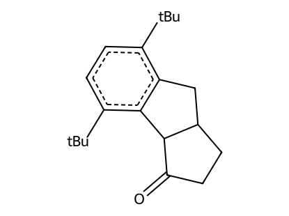 CC(C)(C)c1ccc(C(C)(C)C)c2c1CC1CCC(=O)C21